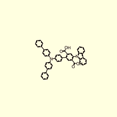 O=C(O)c1cc(-n2c3ccccc3c3ccccc32)c(C(=O)O)cc1-c1ccc(N(c2ccc(-c3ccccc3)cc2)c2ccc(-c3ccccc3)cc2)cc1